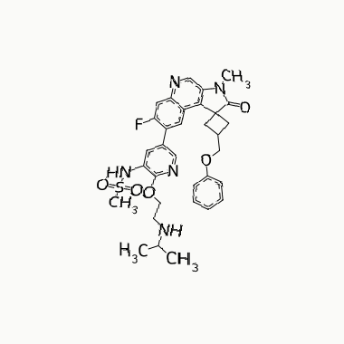 CC(C)NCCOc1ncc(-c2cc3c4c(cnc3cc2F)N(C)C(=O)C42CC(COc3ccccc3)C2)cc1NS(C)(=O)=O